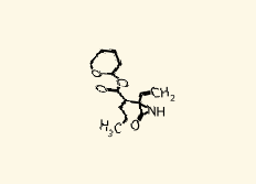 C=CC1(C(CCC)C(=O)OC2CCCCO2)NC1=O